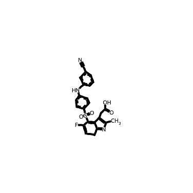 CC1=C(CC(=O)O)C2=C(S(=O)(=O)c3ccc(Nc4cccc(C#N)c4)cc3)C(F)=CCC2=N1